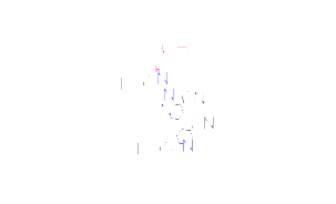 C=Cc1cc(-c2cc(C#N)c(N3CCN(C(=O)CCO)C(C)C3)nc2C2CC2)c(C#N)cn1